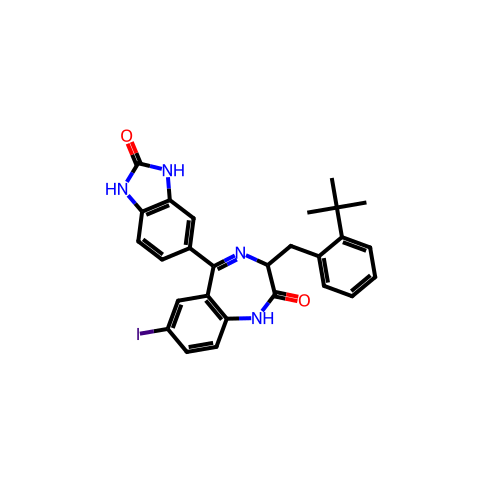 CC(C)(C)c1ccccc1CC1N=C(c2ccc3[nH]c(=O)[nH]c3c2)c2cc(I)ccc2NC1=O